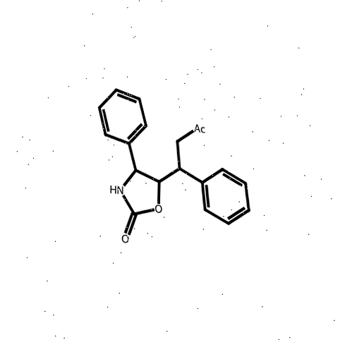 CC(=O)CC(c1ccccc1)C1OC(=O)NC1c1ccccc1